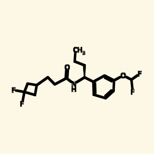 CCC[C@H](NC(=O)CCC1CC(F)(F)C1)c1cccc(OC(F)F)c1